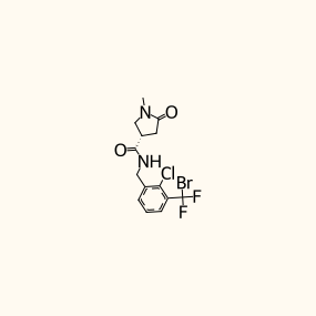 CN1C[C@@H](C(=O)NCc2cccc(C(F)(F)Br)c2Cl)CC1=O